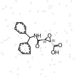 O=C(O)[C@H]1O[C@@H]1C(=O)NC(c1ccccc1)c1ccccc1